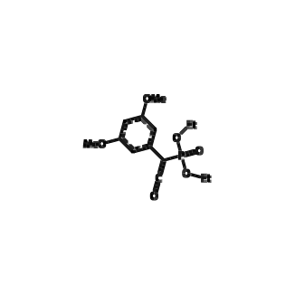 CCOP(=O)(OCC)C(=C=O)c1cc(OC)cc(OC)c1